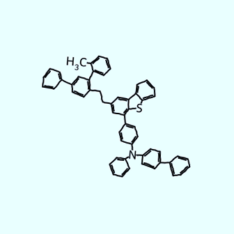 Cc1ccccc1-c1cc(-c2ccccc2)ccc1CCc1cc(-c2ccc(N(c3ccccc3)c3ccc(-c4ccccc4)cc3)cc2)c2sc3ccccc3c2c1